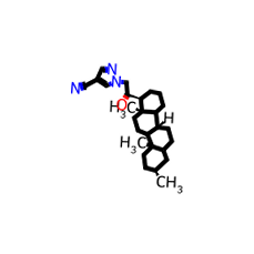 C[C@H]1CCC2(C)C(CC[C@@H]3C2CC[C@@]2(C)C3CCC[C@@H]2C(=O)Cn2cc(C#N)cn2)C1